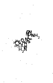 NCCC(C(=O)Nc1nc(-c2nonc2N)cs1)c1ccccc1